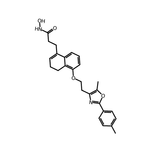 Cc1ccc(-c2nc(CCOc3cccc4c3CCC=C4CCC(=O)NO)c(C)o2)cc1